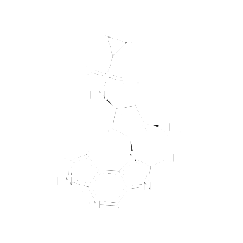 Cc1nc2cnc3[nH]ccc3c2n1[C@H]1C[C@@H](NS(=O)(=O)C2CC2)C[C@H]1C